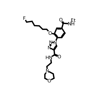 CCNC(=O)c1ccc(-n2cc(C(=O)NCCN3CCOCC3)nn2)c(OCCCCCCF)c1